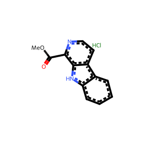 COC(=O)c1nccc2c1[nH]c1ccccc12.Cl